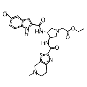 CCOC(=O)CN1C[C@@H](NC(=O)c2cc3cc(Cl)ccc3[nH]2)[C@H](NC(=O)c2nc3c(s2)CN(C)CC3)C1